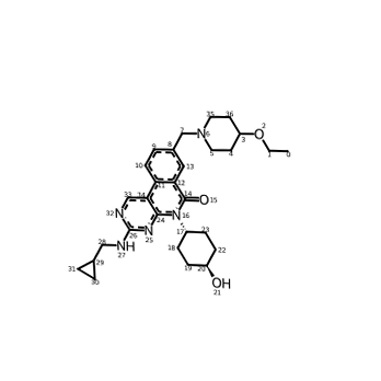 CCOC1CCN(Cc2ccc3c(c2)c(=O)n([C@H]2CC[C@H](O)CC2)c2nc(NCC4CC4)ncc32)CC1